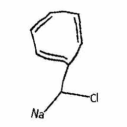 [Na][CH](Cl)c1ccccc1